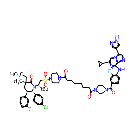 CC(C)(C)[C@@H](CS(=O)(=O)N1CCN(C(=O)CCCCCCC(=O)N2CCN(C(=O)c3ccc(Nc4nc(C5CC5)cn5c(-c6cn[nH]c6)cnc45)c(F)c3)CC2)CC1)N1C(=O)[C@@](C)(CC(=O)O)C[C@H](c2cccc(Cl)c2)[C@H]1c1ccc(Cl)cc1